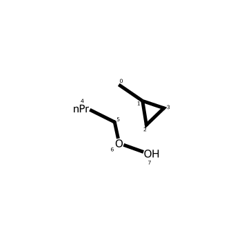 CC1CC1.CCCCOO